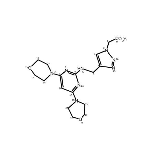 O=C(O)Cn1cc(CNc2nc(N3CCOCC3)cc(N3CCOCC3)n2)nn1